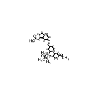 COc1ccc(F)c(-c2ccc(COc3ccc4c(c3)[C@@H](CC(=O)O)CC4)cc2CCC(C)(C)C)c1